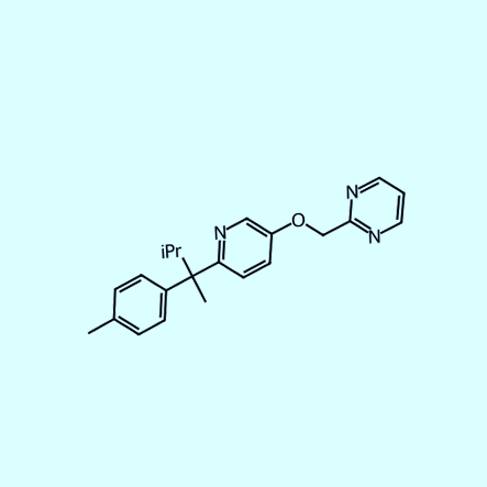 Cc1ccc(C(C)(c2ccc(OCc3ncccn3)cn2)C(C)C)cc1